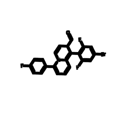 O=CC1C=CN2C(c3ccc(F)cc3)=CC=CC2=C1c1c(F)cc(Br)cc1F